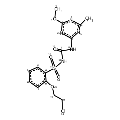 COc1nc(C)nc(NC(=O)NS(=O)(=O)c2ccccc2OCCCl)n1